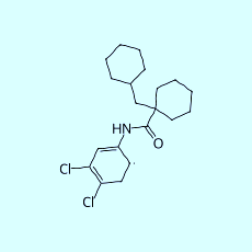 O=C(NC1=CC(Cl)=C(Cl)C[CH]1)C1(CC2CCCCC2)CCCCC1